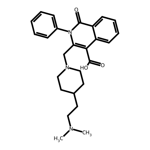 CN(C)CCC1CCN(Cc2c(C(=O)O)c3ccccc3c(=O)n2-c2ccccc2)CC1